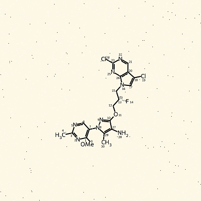 COc1nc(C)ncc1-n1nc(OC[C@@H](F)Cn2cc(Cl)c3cnc(Cl)nc32)c(N)c1C